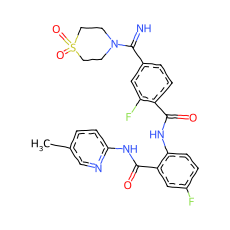 Cc1ccc(NC(=O)c2cc(F)ccc2NC(=O)c2ccc(C(=N)N3CCS(=O)(=O)CC3)cc2F)nc1